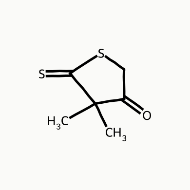 CC1(C)C(=O)CSC1=S